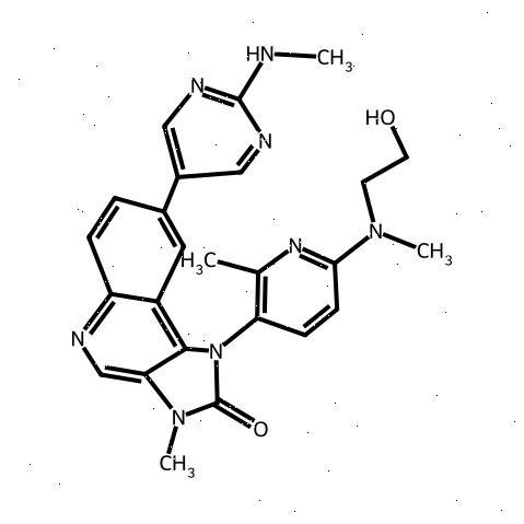 CNc1ncc(-c2ccc3ncc4c(c3c2)n(-c2ccc(N(C)CCO)nc2C)c(=O)n4C)cn1